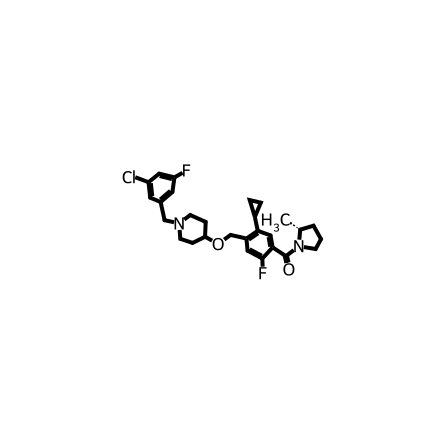 C[C@@H]1CCCN1C(=O)c1cc(C2CC2)c(COC2CCN(Cc3cc(F)cc(Cl)c3)CC2)cc1F